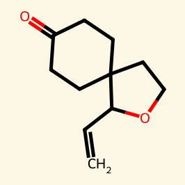 C=CC1OCCC12CCC(=O)CC2